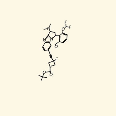 CN(C)C1CC(c2c(C=O)cccc2OC(F)F)n2c1nc1ccc(C#CC3(F)CN(C(=O)OC(C)(C)C)C3)cc12